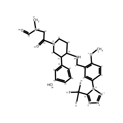 COc1ccc(-n2nnnc2C(F)(F)F)cc1CNC1CCN(C(=O)CN(C)C=O)CC1c1ccccc1.Cl